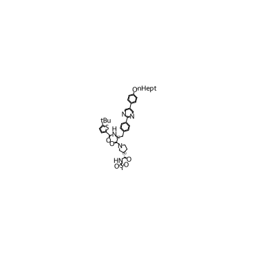 CCCCCCCOc1ccc(-c2cnc(-c3ccc(C[C@H](NC(=O)c4ccc(C(C)(C)C)s4)C(=O)N4CC[C@H](C(=O)NS(C)(=O)=O)C4)cc3)nc2)cc1